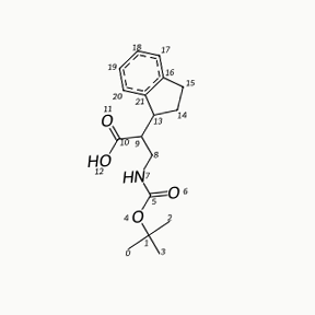 CC(C)(C)OC(=O)NCC(C(=O)O)C1CCc2ccccc21